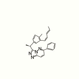 CC=C/C=C\c1cc([C@H](C)c2nnc3ccc(-c4ccccc4)nn23)ccc1C